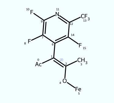 CC(=O)/C(=C(/C)[O][Fe])c1c(F)c(F)nc(C(F)(F)F)c1F